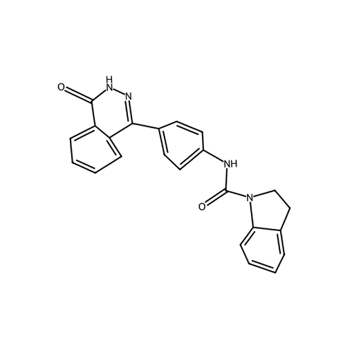 O=C(Nc1ccc(-c2n[nH]c(=O)c3ccccc23)cc1)N1CCc2ccccc21